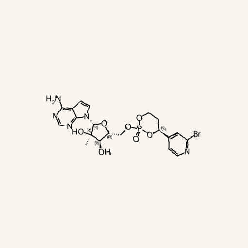 C[C@@]1(O)[C@H](O)[C@@H](COP2(=O)OCC[C@@H](c3ccnc(Br)c3)O2)O[C@H]1n1ccc2c(N)ncnc21